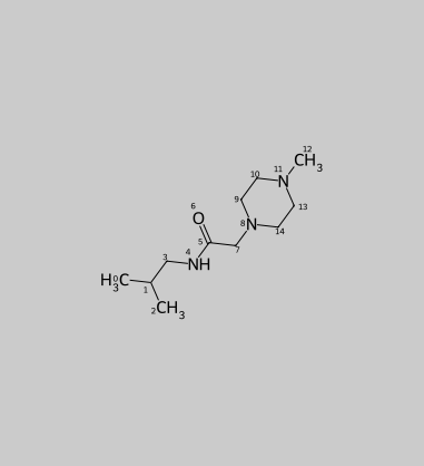 CC(C)CNC(=O)CN1CCN(C)CC1